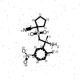 C[C@](N)(CS(=O)(=O)C1(C#N)CCCC1)c1cc([N+](=O)[O-])ccc1F